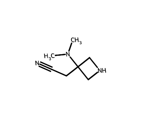 CN(C)C1(CC#N)CNC1